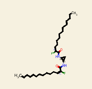 CCCCCCCCCCC/C=C(/F)C(=O)N[C@H]1C[C@H]1NC(=O)/C(F)=C\CCCCCCCCCCC